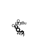 CN(C)C1(c2ccc(F)s2)CCC2(CC1)CC(=O)N(OC(=O)OC(C)(C)C)C2